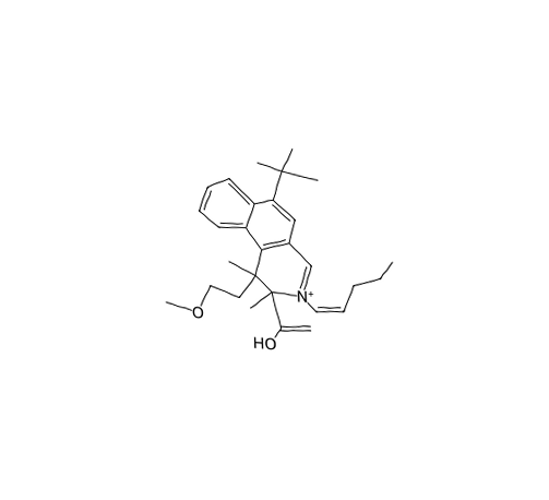 C=C(O)C1(C)[N+](/C=C\CCC)=Cc2cc(C(C)(C)C)c3ccccc3c2C1(C)CCOC